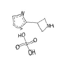 O=S(=O)(O)O.c1csc(C2CNC2)n1